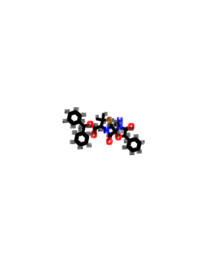 CC1(C)S[C@@H]2N(C(=O)C23NC(=O)C(c2ccccc2)O3)C1C(=O)OC(c1ccccc1)c1ccccc1